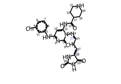 C=C1N=C(Nc2cccc(Cl)c2)C=C(NC(=O)C2CCNCC2)N1/N=C\C/C=C1\NC(=O)NC1=O